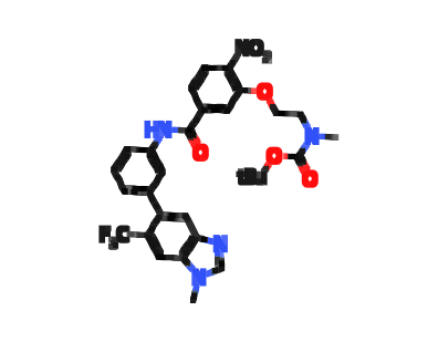 CN(CCOc1cc(C(=O)Nc2cccc(-c3cc4ncn(C)c4cc3C(F)(F)F)c2)ccc1[N+](=O)[O-])C(=O)OC(C)(C)C